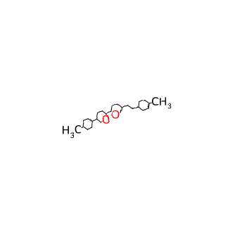 CC1=CCC(CCC2CCC(C3CCC(C4CCC(C)CC4)CO3)OC2)CC1